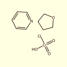 C1CCOC1.[O]=[Cr](=[O])([OH])[Cl].c1ccncc1